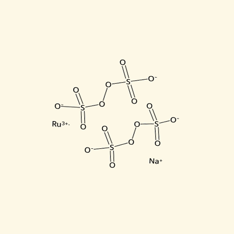 O=S(=O)([O-])OOS(=O)(=O)[O-].O=S(=O)([O-])OOS(=O)(=O)[O-].[Na+].[Ru+3]